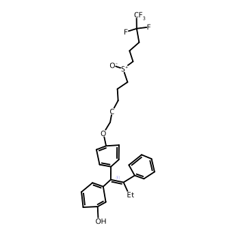 CC/C(=C(/c1ccc(OCCCCC[S+]([O-])CCCC(F)(F)C(F)(F)F)cc1)c1cccc(O)c1)c1ccccc1